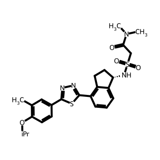 Cc1cc(-c2nnc(-c3cccc4c3CC[C@@H]4NS(=O)(=O)CC(=O)N(C)C)s2)ccc1OC(C)C